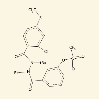 CCN(C(=O)c1cccc(OS(=O)(=O)C(F)(F)F)c1)N(C(=O)c1ccc(SC(Cl)(Cl)Cl)cc1Cl)C(C)(C)C